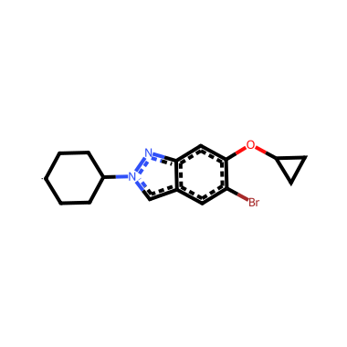 Brc1cc2cn(C3CC[CH]CC3)nc2cc1OC1CC1